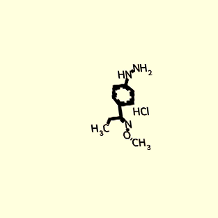 CCC(=NOC)c1ccc(NN)cc1.Cl